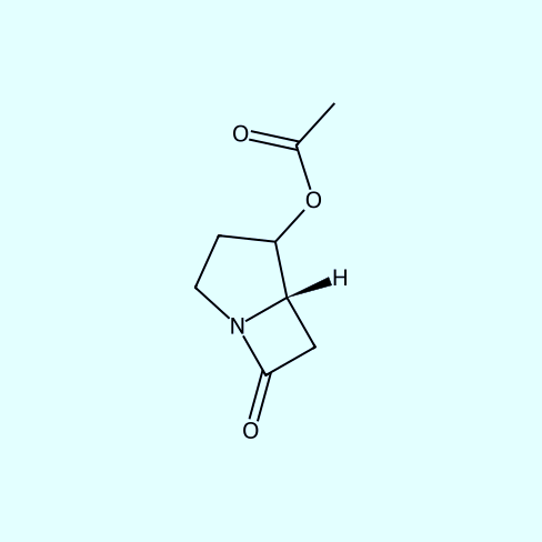 CC(=O)OC1CCN2C(=O)C[C@@H]12